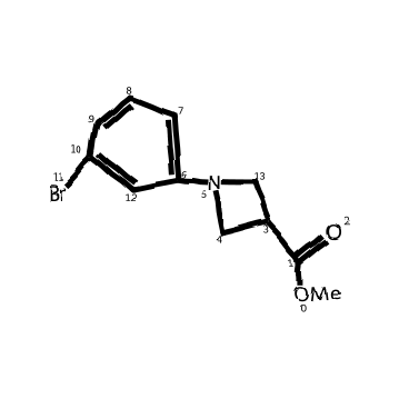 COC(=O)C1CN(c2cccc(Br)c2)C1